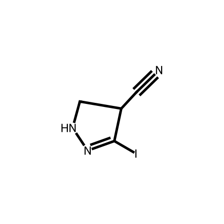 N#CC1CNN=C1I